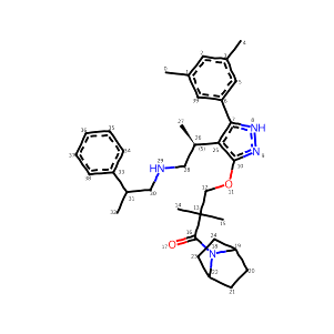 Cc1cc(C)cc(-c2[nH]nc(OCC(C)(C)C(=O)N3C4CCC3CC4)c2[C@H](C)CNCC(C)c2ccccc2)c1